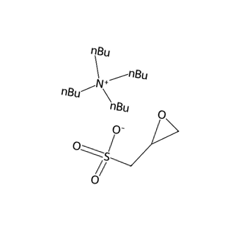 CCCC[N+](CCCC)(CCCC)CCCC.O=S(=O)([O-])CC1CO1